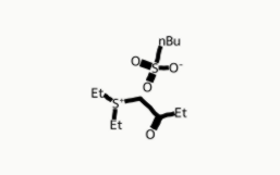 CCC(=O)C[S+](CC)CC.CCCCS(=O)(=O)[O-]